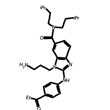 CCC(=O)c1ccc(Nc2nc3ccc(C(=O)N(CCC(C)C)CCC(C)C)cc3n2CCCN)cc1